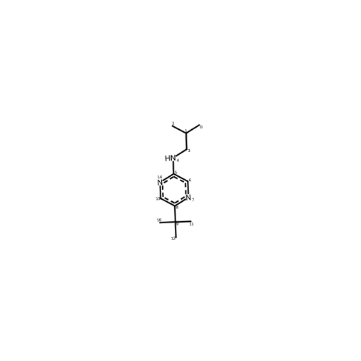 CC(C)CNc1cnc(C(C)(C)C)cn1